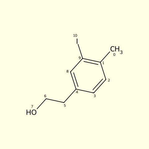 Cc1ccc(CCO)cc1I